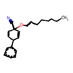 CCCCCC/C=C/OC1(C#N)C=CC(c2ccccc2)C=C1